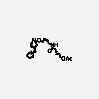 CC(=O)OCCSCC(=O)NC/C=C\COc1cc(CN2CCCC2)ccn1